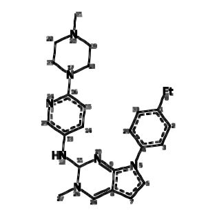 CCc1ccc(-n2ccc3c2=NC(Nc2ccc(N4CCN(C)CC4)nc2)N(C)C=3)cc1